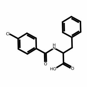 O=C(NC(Cc1ccccc1)C(=O)O)c1ccc(Cl)cc1